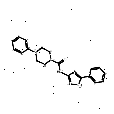 O=C(Nc1cc(-c2ccccc2)[nH]n1)N1CCN(c2ccccc2)CC1